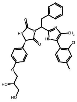 Cc1nc([C@H](Cc2ccccc2)N2C(=O)N[C@H](c3ccc(OC[C@H](O)CO)cc3)C2=O)[nH]c1-c1ccc(I)cc1Cl